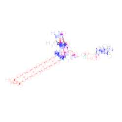 Cc1c(Nc2nc3ccccc3s2)nnc2c1CCCN2c1nc(C(=O)O)c(CCCOc2ccc(C#CCN(C)C(=O)OCc3ccc(NC(=O)[C@H](CCCNC(N)=O)NC(=O)[C@@H](N)C(C)C)cc3CN(Cc3cn(CCOCCOCCOCCOCCOCCOCCOCCOCCC(=O)O)nn3)C(=O)OCc3cn(CCOCCOCCOCCOCCOCCOCCOCCOCCC(=O)O)nn3)cc2F)s1